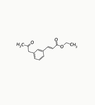 CCOC(=O)/C=C/c1cccc(CC(C)=O)c1